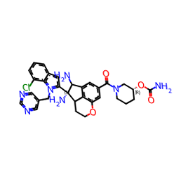 NC(=O)O[C@@H]1CCCN(C(=O)c2cc3c4c(c2)C(N)[C@](N)(c2cc5cccc(Cl)c5n2Cc2cncnc2)C4CCO3)C1